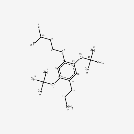 [2H]C([2H])([2H])Oc1cc(SCCC(F)F)c(OC([2H])([2H])[2H])cc1CCN